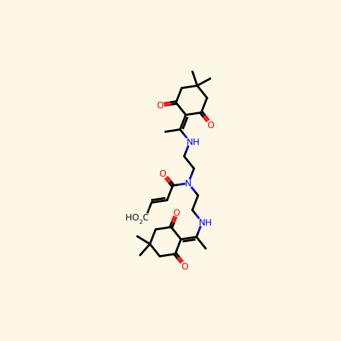 CC(NCCN(CCNC(C)=C1C(=O)CC(C)(C)CC1=O)C(=O)C=CC(=O)O)=C1C(=O)CC(C)(C)CC1=O